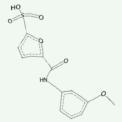 COc1cccc(NC(=O)c2ccc(S(=O)(=O)O)o2)c1